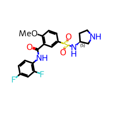 COc1ccc(S(=O)(=O)N[C@H]2CCNC2)cc1C(=O)Nc1ccc(F)cc1F